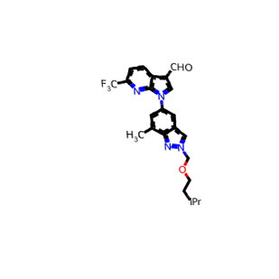 Cc1cc(-n2cc(C=O)c3ccc(C(F)(F)F)nc32)cc2cn(COCCC(C)C)nc12